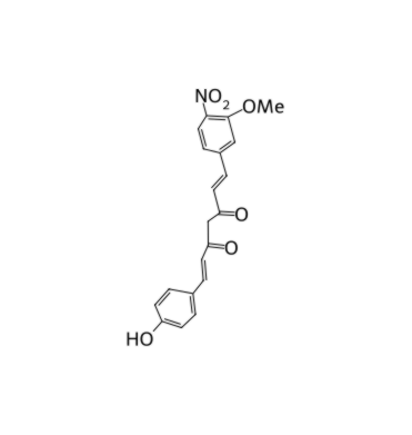 COc1cc(/C=C/C(=O)CC(=O)/C=C/c2ccc(O)cc2)ccc1[N+](=O)[O-]